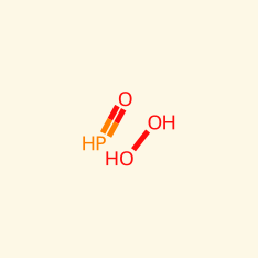 O=P.OO